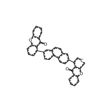 O=c1c2ccccc2oc2cccc(-c3ccc4c(ccc5cc(-c6cccc7oc8ccccc8c(=O)c67)ccc54)c3)c12